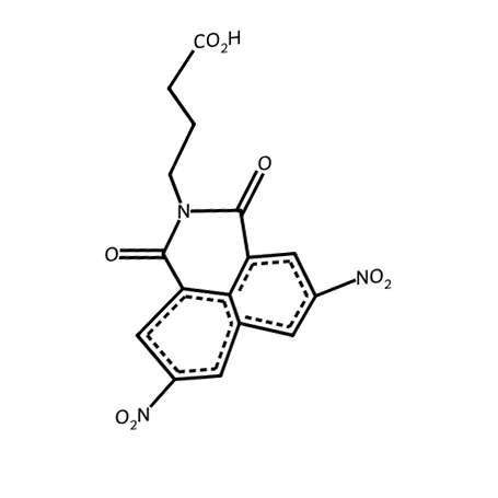 O=C(O)CCCN1C(=O)c2cc([N+](=O)[O-])cc3cc([N+](=O)[O-])cc(c23)C1=O